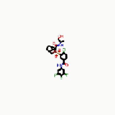 CC(CO)NC(=O)CC1(O)C2CCC1CC(S(=O)(=O)c1cc(C(=O)Nc3cc(F)c(F)c(F)c3)ccc1Cl)C2